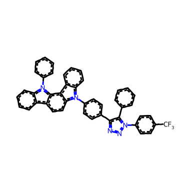 FC(F)(F)c1ccc(-n2nnc(-c3ccc(-n4c5ccccc5c5c4ccc4c6ccccc6n(-c6ccccc6)c45)cc3)c2-c2ccccc2)cc1